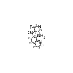 Nc1c(C(=O)c2ccncc2F)ccc2cccnc12